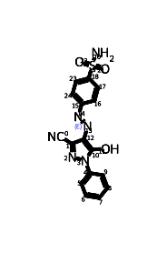 N#Cc1nn(-c2ccccc2)c(O)c1/N=N/c1ccc(S(N)(=O)=O)cc1